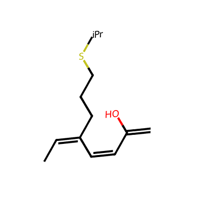 C=C(O)/C=C\C(=C/C)CCCSC(C)C